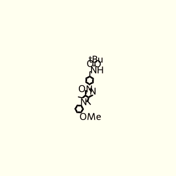 COc1cccc(-n2c(C)c3cnn(-c4ccc(CNC(=O)OC(C)(C)C)cc4)c(=O)c3c2C)c1